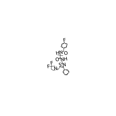 CC(C)(NC(=O)c1ccc(F)cc1)C(=O)Nc1nc(-c2ccccc2)c(CN2CCC(F)(F)C2)s1